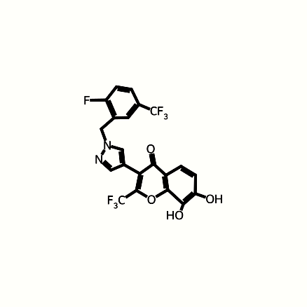 O=c1c(-c2cnn(Cc3cc(C(F)(F)F)ccc3F)c2)c(C(F)(F)F)oc2c(O)c(O)ccc12